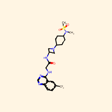 CN(C1CCC(N2CC(NC(=O)CNc3ncnc4ccc(C(F)(F)F)cc34)C2)CC1)S(C)(=O)=O